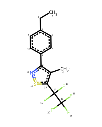 [CH2]c1c(-c2ccc(CC)cc2)nsc1C(F)(F)C(F)(F)F